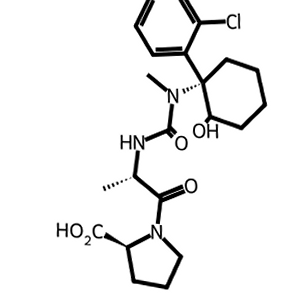 C[C@H](NC(=O)N(C)[C@]1(c2ccccc2Cl)CCCCC1O)C(=O)N1CCC[C@H]1C(=O)O